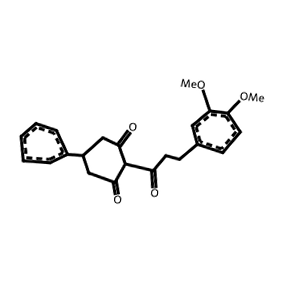 COc1ccc(CCC(=O)C2C(=O)CC(c3ccccc3)CC2=O)cc1OC